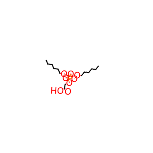 CCCCCCOOP(=O)(OCC(=O)O)OOCCCCCC